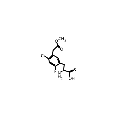 COC(=O)Cc1cc(C[C@H](N)C(O)=S)c(F)cc1Cl